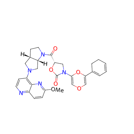 COc1ccc2nccc(N3C[C@@H]4CCN(C(=O)[C@@H]5CN(C6=COC=C(C7=CC=CCC7)O6)C(=O)O5)[C@@H]4C3)c2n1